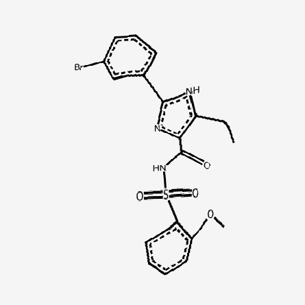 CCc1[nH]c(-c2cccc(Br)c2)nc1C(=O)NS(=O)(=O)c1ccccc1OC